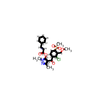 COCc1c(S(C)(=O)=O)ccc(C(=O)c2c(C)nn(C)c2OC(=O)/C=C/c2ccccc2)c1Cl